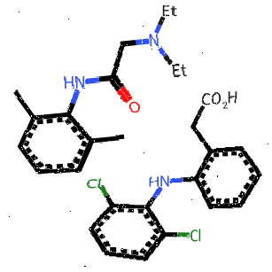 CCN(CC)CC(=O)Nc1c(C)cccc1C.O=C(O)Cc1ccccc1Nc1c(Cl)cccc1Cl